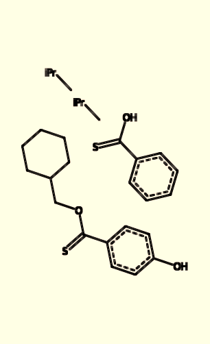 CC(C)C.CC(C)C.OC(=S)c1ccccc1.Oc1ccc(C(=S)OCC2CCCCC2)cc1